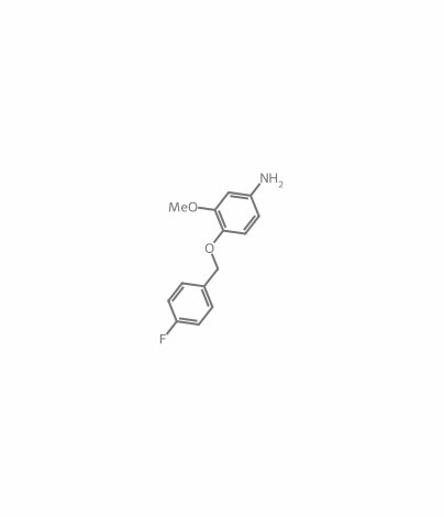 COc1cc(N)ccc1OCc1ccc(F)cc1